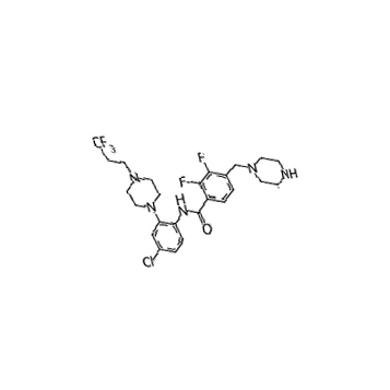 O=C(Nc1ccc(Cl)cc1N1CCN(CCC(F)(F)F)CC1)c1ccc(CN2C[CH]NCC2)c(F)c1F